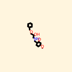 COc1ccc(CNC[C@H](O)COCc2ccccc2)c(OC)c1